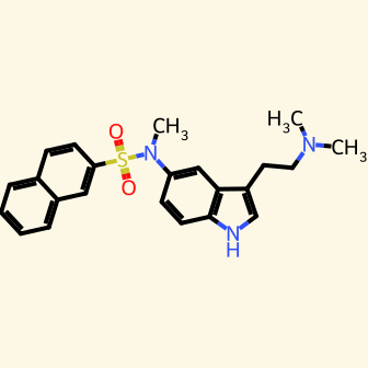 CN(C)CCc1c[nH]c2ccc(N(C)S(=O)(=O)c3ccc4ccccc4c3)cc12